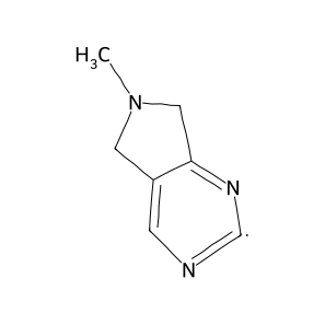 CN1Cc2cn[c]nc2C1